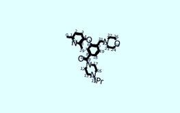 Cc1ccc(Oc2cc(C(=O)N3CCN(C(C)C)CC3)ccc2CN2CCOCC2)c(C)n1